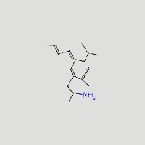 C=C(C)\C(=C/C(=C\C=C\C)CC(C)C)CC(C)N